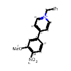 COc1cc(-c2cc[n+](CC(C)C)cc2)ccc1[N+](=O)[O-]